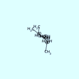 CCCCCCCCCCCOC(=O)C(O)(O)CCCCN(CCCCCCC(O)C(=O)OC(CCCCCCCC)CCCCCCCC)C(O)(O)C(O)(O)O